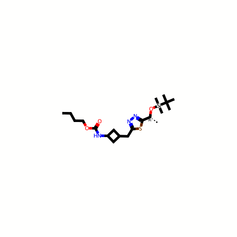 CCCCOC(=O)NC1CC(Cc2nnc([C@@H](C)O[Si](C)(C)C(C)(C)C)s2)C1